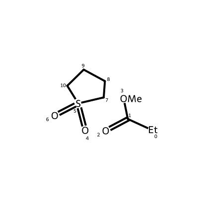 CCC(=O)OC.O=S1(=O)CCCC1